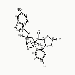 N#Cc1ccc2c(cnn2C[C@@H]2C[C@H](C(=O)N3CC(F)CC3c3cccc(F)c3)C3CC2C3)c1